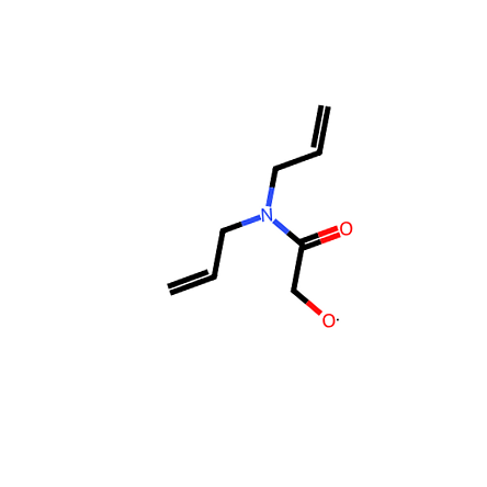 C=CCN(CC=C)C(=O)C[O]